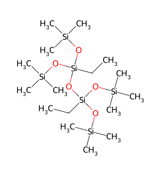 CC[Si](O[Si](C)(C)C)(O[Si](C)(C)C)O[Si](CC)(O[Si](C)(C)C)O[Si](C)(C)C